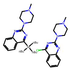 CCC[CH2][Sn]([CH2]CCC)([CH2]CCC)[c]1nc(N2CCN(C)CC2)nc2ccccc12.CN1CCN(c2nc(Cl)c3ccccc3n2)CC1